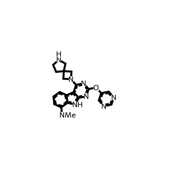 CNc1cccc2c1[nH]c1nc(Oc3cncnc3)nc(N3CC4(CCNC4)C3)c12